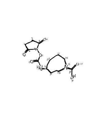 O=C(ON1C(=O)CCC1=O)[AsH][C@H]1CCCN(C(=O)O)CC1